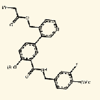 COc1ccc(CNC(=O)c2cc(-c3cnccc3COC(=O)CC(C)C)ccc2OCC(C)C)cc1F